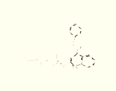 CCCCCCCNCc1nc2ccccc2c(OCc2ccccc2)c1C